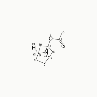 CC(=S)OC1CC2CC[C@@H](C1)N2C